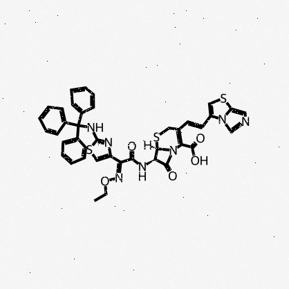 CCON=C(C(=O)N[C@@H]1C(=O)N2C(C(=O)O)=C(C=Cc3csc4cncn34)CS[C@H]12)c1csc(NC(c2ccccc2)(c2ccccc2)c2ccccc2)n1